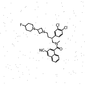 CN(C[C@@H](CCN1CC(N2CCC(F)CC2)C1)c1ccc(Cl)c(Cl)c1)C(=O)c1cc(C#N)cc2ccccc12